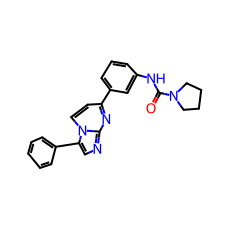 O=C(Nc1cccc(-c2ccn3c(-c4ccccc4)cnc3n2)c1)N1CCCC1